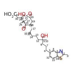 Cc1nc2cc(CCCC(C)(O)CCC[C@H](C)C[C@@H](CC3CO3)C(=O)C(C)(C)[C@@H](O)CC(=O)O)ccc2s1